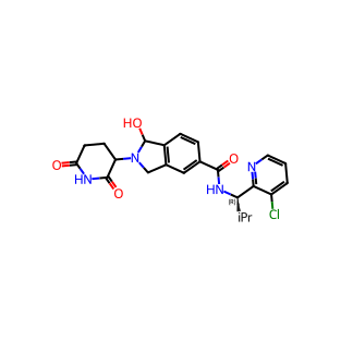 CC(C)[C@@H](NC(=O)c1ccc2c(c1)CN(C1CCC(=O)NC1=O)C2O)c1ncccc1Cl